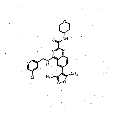 Cc1noc(C)c1-c1ccc2nc(C(=O)NC3CCOCC3)nc(NCc3cncc(Cl)c3)c2c1